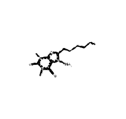 CCCCCCc1nc2c(c(=O)n(C)c(=O)n2C)n1N